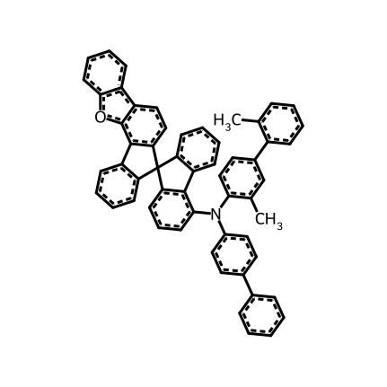 Cc1ccccc1-c1ccc(N(c2ccc(-c3ccccc3)cc2)c2cccc3c2-c2ccccc2C32c3ccccc3-c3c2ccc2c3oc3ccccc32)c(C)c1